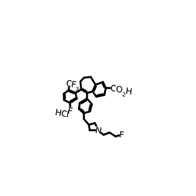 Cl.O=C(O)c1ccc2c(c1)CCCC(c1cc(F)ccc1C(F)(F)F)=C2c1ccc(CC2CN(CCCF)C2)cc1